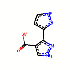 O=C(O)c1c[nH]nc1-c1cc[nH]n1